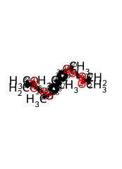 C=C(C)C(=O)OCCOC(C)Oc1ccc(C(C)(C)c2ccc(OC(C)OCCOC(=O)C(=C)C)cc2)cc1